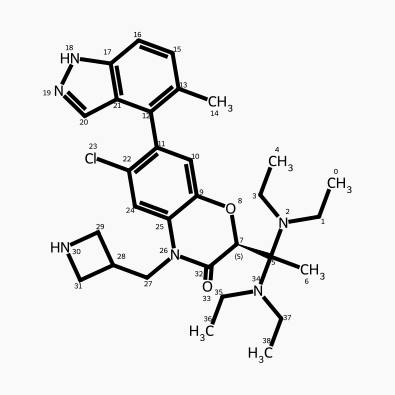 CCN(CC)C(C)([C@@H]1Oc2cc(-c3c(C)ccc4[nH]ncc34)c(Cl)cc2N(CC2CNC2)C1=O)N(CC)CC